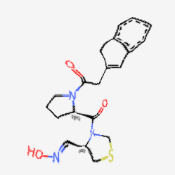 O=C([C@H]1CCCN1C(=O)CC1=Cc2ccccc2C1)N1CSC[C@H]1C=NO